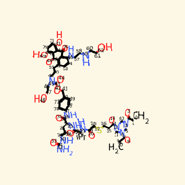 C=CC(=O)N1CN(C(=O)C=C)CN(C(=O)CCSCC(=O)N[C@H](C(=O)N[C@@H](CCCNC(N)=O)C(=O)Nc2ccc(COC(=O)N(CCO)CCCc3ccc(NCCNCCO)c4c3C(=O)c3c(O)ccc(O)c3C4=O)cc2)C(C)C)C1